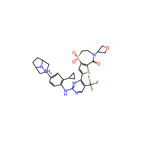 CN1C2CCC1CN(c1ccc(Nc3ncc(C(F)(F)F)c(-c4cc5c(s4)C(=O)N(C4COC4)CCS5(=O)=O)n3)c(C3CC3)c1)C2